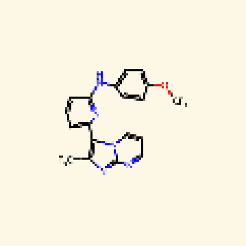 FC(F)(F)Oc1ccc(Nc2cccc(-c3c(C(F)(F)F)nc4ncccn34)n2)cc1